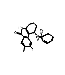 CC[C@]1(N[C@@H]2COCc3[nH]c(=O)c4cc(F)c(F)cc4c32)C=CC=CC1